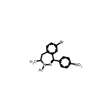 CC(=O)N1N=C(c2ccc([N+](=O)[O-])cc2)c2cc(Br)ccc2CC1C